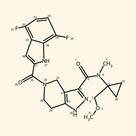 COCC1(N(C)C(=O)c2n[nH]c3c2CN(C(=O)c2cc4c(F)ccc(F)c4[nH]2)CC3)CC1